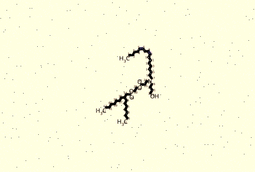 CCCCC/C=C\C/C=C\CCCCCCCCN(CCCCO)CCC(=O)OCCOC(=O)CC(CCCCCCCC)CCCCCCCC